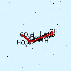 BC(=O)[C@H](Cc1ccc(O)cc1)NC(=O)COCCOCCNC(=O)COCCOCCNC(=O)COCCOCCNC(=O)COCCOCCNC(=O)CC[C@H](NC(=O)CCCCCCCCCCCCCCCCC(=O)O)C(=O)O